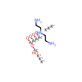 CC(=O)[O-].CC(=O)[O-].CC(=O)[O-].CC(=O)[O-].CC(=O)[O-].NCCNCCN.[K+].[K+].[K+].[K+].[K+].[K+].[OH-]